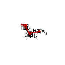 CC(C)(C)OC(=O)CCCCCCCCCCCCCCCCC(=O)N[C@@H](CCC(=O)NCCOCCOCC(=O)NCCCC[C@H](NC(=O)OCc1ccccc1)C(=O)OC(c1ccccc1)(c1ccccc1)c1ccccc1Cl)C(=O)OC(C)(C)C